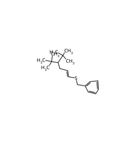 CC(C)(C)C(CC=CSCc1ccccc1)C(C)(C)C